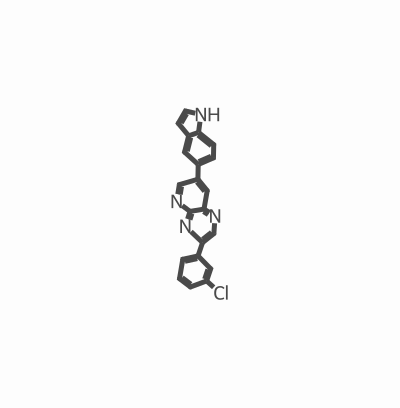 Clc1cccc(-c2cnc3cc(-c4ccc5[nH]ccc5c4)cnc3n2)c1